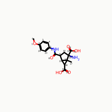 COc1ccc(NC(=O)C2CC(N)(C(=O)O)C3(C)C(C(=O)O)C23)cc1